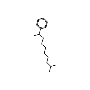 CC(C)CCCCSSC(C)c1ccccc1